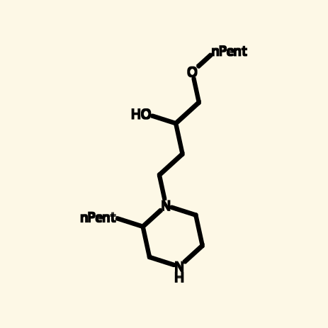 CCCCCOCC(O)CCN1CCNCC1CCCCC